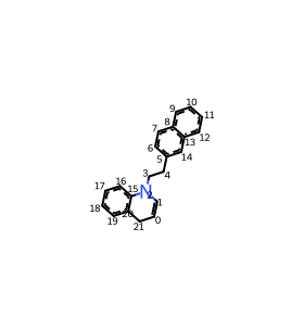 C1=CN(CCc2ccc3ccccc3c2)c2ccccc2C1